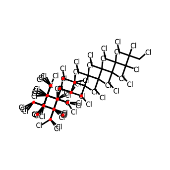 ClCC(Cl)(CCl)C(Cl)(CCl)C(Cl)(CCl)C(Cl)(CCl)C(Cl)(CCl)C(Cl)(CCl)C(Cl)(CCl)C(Cl)(CCl)C(Cl)(CCl)C(Cl)(CCl)C(Cl)(CCl)C(Cl)(CCl)C(Cl)(CCl)C(Cl)(CCl)C(Cl)(CCl)C(Cl)(CCl)C(Cl)(CCl)C(Cl)(CCl)C(Cl)(CCl)C(Cl)(CCl)C(Cl)(CCl)C(Cl)(CCl)C(Cl)(CCl)C(Cl)(CCl)C(Cl)(CCl)CCl